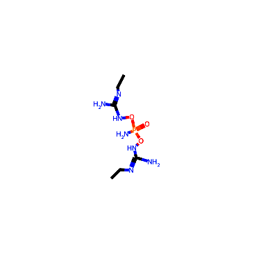 CCN=C(N)NOP(N)(=O)ONC(N)=NCC